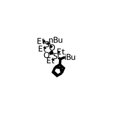 CCCC[Si](CC)(CC)OC(=O)[Si](CC)(CC)C(C(C)CC)C1CC2C=CC1C2